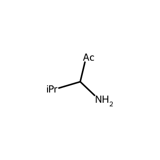 CC(=O)C(N)C(C)C